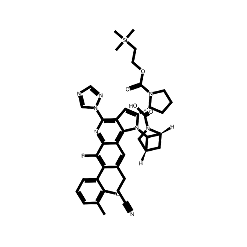 Cc1cccc(-c2c(CCC#N)cc3c(nc(-n4cncn4)c4cc([C@H]5CCCN5C(=O)OCC[Si](C)(C)C)n(C5[C@@H]6C[C@H]5N(C(=O)O)C6)c43)c2F)c1Cl